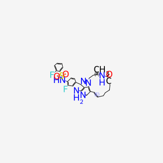 C[C@@H]1CCn2nc(-c3ccc(NS(=O)(=O)c4ccccc4F)c(F)c3)c3c(N)ncc(c32)/C=C/CCCCCC(=O)N1